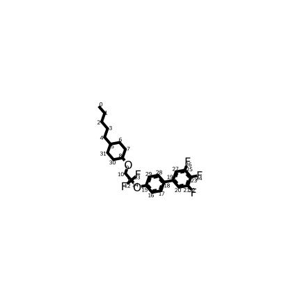 CCCCCC1CCC(OCC(F)(F)Oc2ccc(-c3cc(F)c(F)c(F)c3)cc2)CC1